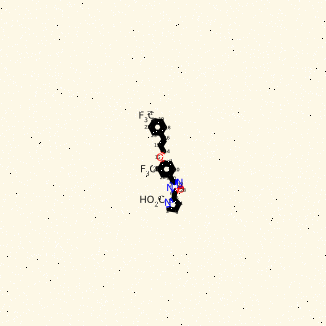 O=C(O)N1CCCC1c1nc(-c2ccc(OCC=Cc3ccc(C(F)(F)F)cc3)c(C(F)(F)F)c2)no1